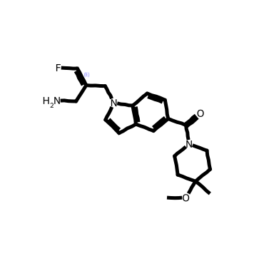 COC1(C)CCN(C(=O)c2ccc3c(ccn3C/C(=C/F)CN)c2)CC1